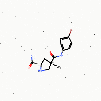 C[C@@]1(C(=O)Nc2ccc(Br)cc2)CN[C@H](C(N)=O)C1